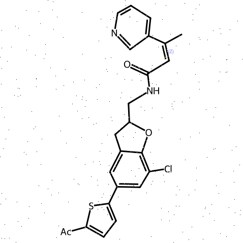 CC(=O)c1ccc(-c2cc(Cl)c3c(c2)CC(CNC(=O)/C=C(/C)c2cccnc2)O3)s1